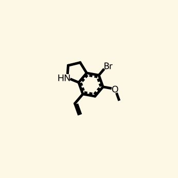 C=Cc1cc(OC)c(Br)c2c1NCC2